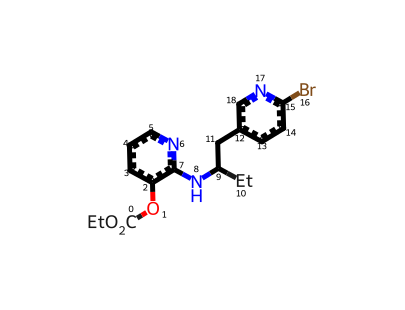 CCOC(=O)Oc1cccnc1NC(CC)Cc1ccc(Br)nc1